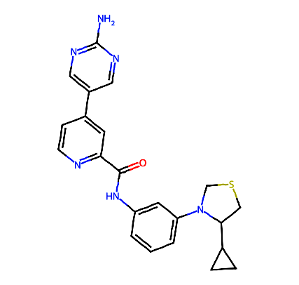 Nc1ncc(-c2ccnc(C(=O)Nc3cccc(N4CSCC4C4CC4)c3)c2)cn1